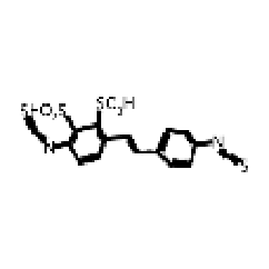 O=S(=O)(O)c1c(C=Cc2ccc(N=C=S)cc2)ccc(N=C=S)c1S(=O)(=O)O